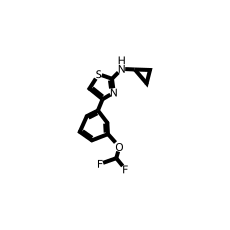 FC(F)Oc1cccc(-c2csc(NC3CC3)n2)c1